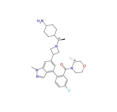 C[C@H](C1CCC(N)CC1)N1CC(c2cc(-c3ccc(F)cc3C(=O)N3CCOC[C@H]3C)c3cnn(C)c3c2)C1